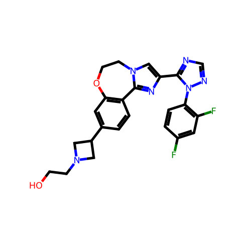 OCCN1CC(c2ccc3c(c2)OCCn2cc(-c4ncnn4-c4ccc(F)cc4F)nc2-3)C1